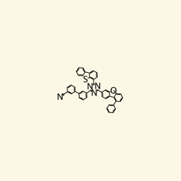 N#Cc1cccc(-c2cccc(-c3nc(-c4ccc5c(c4)oc4cccc(-c6ccccc6)c45)nc(-c4cccc5c4sc4ccccc45)n3)c2)c1